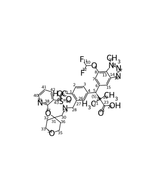 Cc1ccc([C@@H](c2cc(OC(F)F)c3c(c2)nnn3C)C(C)(C)C(=O)O)cc1CN1CC2(CCOCC2)Oc2ncccc2S1(=O)=O